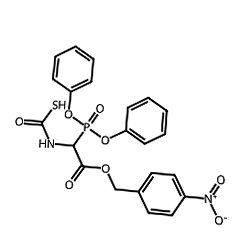 O=C(S)NC(C(=O)OCc1ccc([N+](=O)[O-])cc1)P(=O)(Oc1ccccc1)Oc1ccccc1